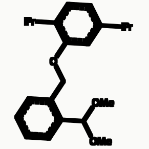 COC(OC)c1ccccc1COc1cc(C(C)C)ccc1C(C)C